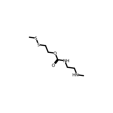 CNCCNC(=O)OCCSSC